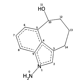 Nn1cc2c3c(cccc31)C(O)CCC2